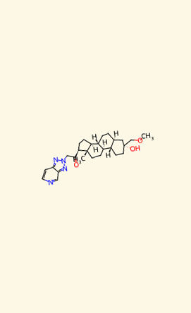 COC[C@@]1(O)CC[C@H]2[C@@H](CC[C@@H]3[C@@H]2CC[C@]2(C)[C@@H](C(=O)Cn4nc5ccncc5n4)CC[C@@H]32)C1